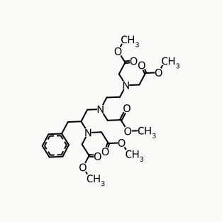 COC(=O)CN(CCN(CC(=O)OC)CC(Cc1ccccc1)N(CC(=O)OC)CC(=O)OC)CC(=O)OC